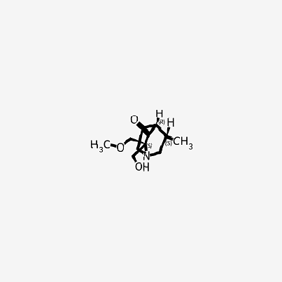 COC[C@@]1(CO)C(=O)[C@@H]2CCN1C[C@H]2C